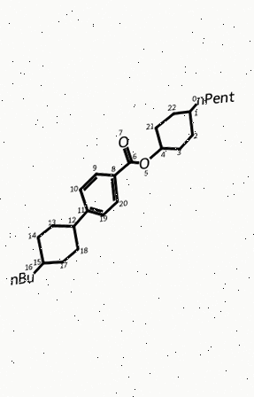 CCCCCC1CCC(OC(=O)c2ccc(C3CCC(CCCC)CC3)cc2)CC1